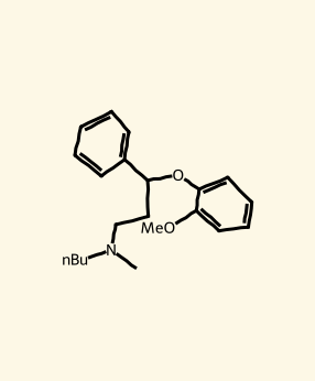 CCCCN(C)CCC(Oc1ccccc1OC)c1ccccc1